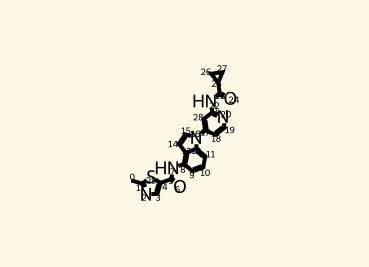 Cc1ncc(C(=O)Nc2cccc3c2ccn3-c2ccnc(NC(=O)C3CC3)c2)s1